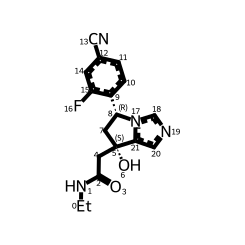 CCNC(=O)C[C@@]1(O)C[C@H](c2ccc(C#N)cc2F)n2cncc21